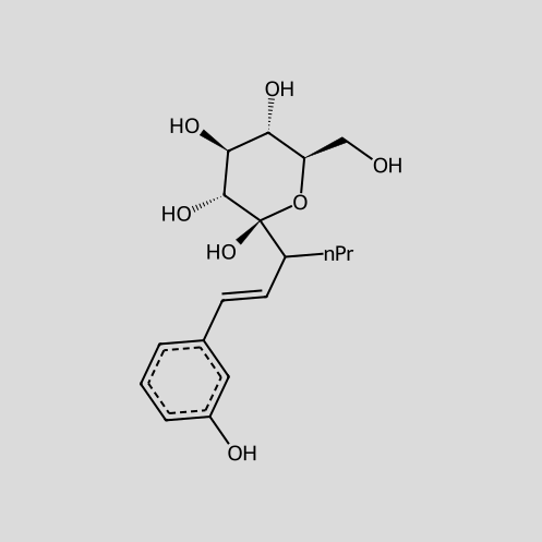 CCCC(/C=C/c1cccc(O)c1)[C@@]1(O)O[C@H](CO)[C@@H](O)[C@H](O)[C@H]1O